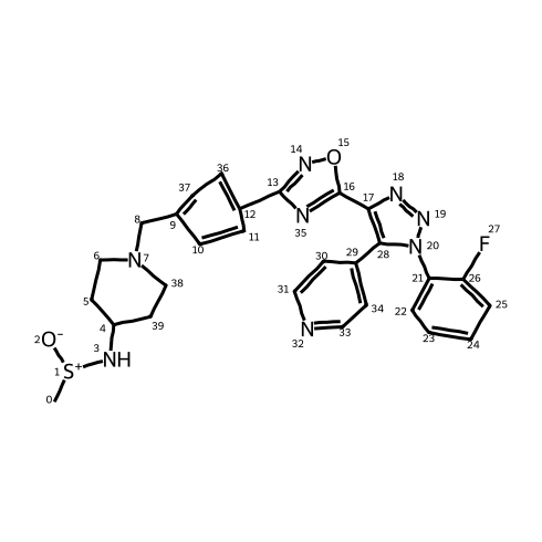 C[S+]([O-])NC1CCN(Cc2ccc(-c3noc(-c4nnn(-c5ccccc5F)c4-c4ccncc4)n3)cc2)CC1